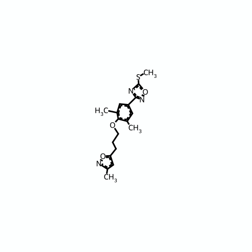 CSc1nc(-c2cc(C)c(OCCCc3cc(C)no3)c(C)c2)no1